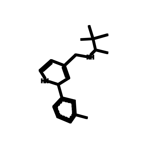 Cc1cccc(C2C=C(CNC(C)C(C)(C)C)C=CN2)c1